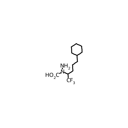 NN(C(=O)O)C(CCCC1CCCCC1)C(F)(F)F